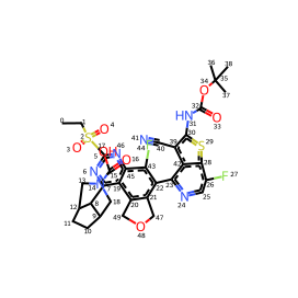 CCS(=O)(=O)c1nc(C2C3CCC2CN(C(=O)O)C3)c2c3c(c(-c4ncc(F)c5sc(NC(=O)OC(C)(C)C)c(C#N)c45)c(F)c2n1)COC3